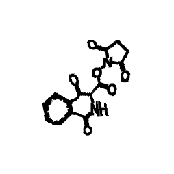 O=C1N[C@H](C(=O)ON2C(=O)CCC2=O)C(=O)c2ccccc21